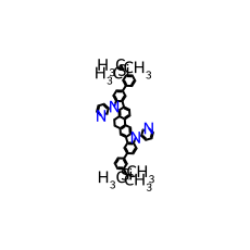 C[Si](C)(C)c1cccc(-c2ccc3c(c2)c2cc4c(cc2n3-c2cccnc2)-c2ccc3c5cc(-c6cccc([Si](C)(C)C)c6)ccc5n(-c5cccnc5)c3c2CC4)c1